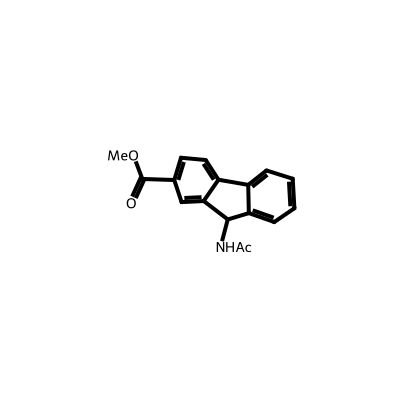 COC(=O)c1ccc2c(c1)C(NC(C)=O)c1ccccc1-2